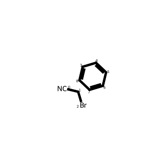 N#CCBr.c1ccccc1